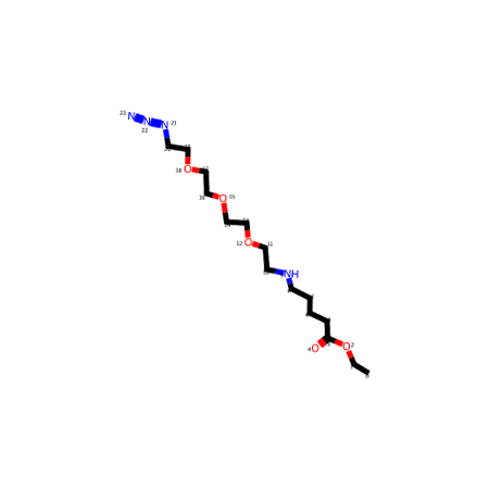 CCOC(=O)CCCCNCCOCCOCCOCCN=[N+]=[N-]